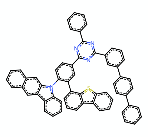 c1ccc(-c2ccc(-c3cccc(-c4nc(-c5ccccc5)nc(-c5ccc(-n6c7ccccc7c7cc8ccccc8cc76)c(-c6cccc7c6sc6ccccc67)c5)n4)c3)cc2)cc1